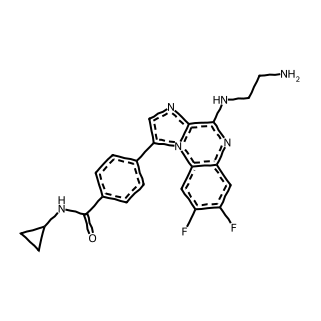 NCCNc1nc2cc(F)c(F)cc2n2c(-c3ccc(C(=O)NC4CC4)cc3)cnc12